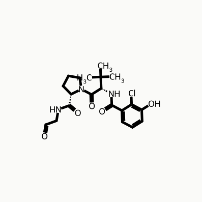 CC(C)(C)[C@H](NC(=O)c1cccc(O)c1Cl)C(=O)N1CCC[C@H]1C(=O)NCC=O